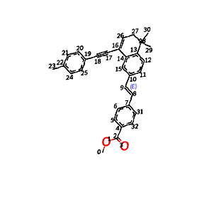 COC(=O)c1ccc(/C=C/c2ccc3c(c2)C(C#Cc2ccc(C)cc2)=CCC3(C)C)cc1